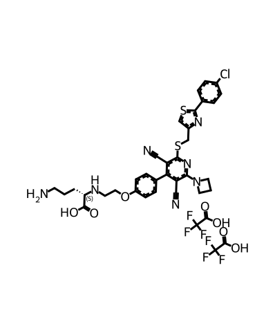 N#Cc1c(SCc2csc(-c3ccc(Cl)cc3)n2)nc(N2CCC2)c(C#N)c1-c1ccc(OCCN[C@@H](CCCN)C(=O)O)cc1.O=C(O)C(F)(F)F.O=C(O)C(F)(F)F